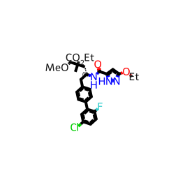 CCOC(=O)C(C)(COC)C[C@@H](Cc1ccc(-c2cc(Cl)ccc2F)cc1)NC(=O)c1cc(OCC)n[nH]1